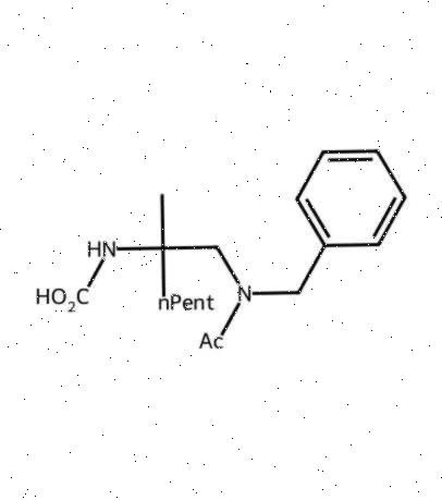 CCCCCC(C)(CN(Cc1ccccc1)C(C)=O)NC(=O)O